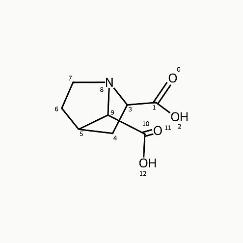 O=C(O)C1CC2CCN1C2C(=O)O